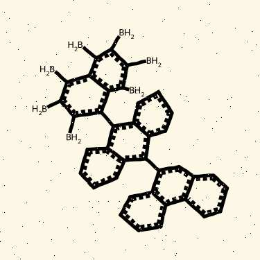 Bc1c(B)c(B)c2c(-c3c4ccccc4c(-c4cc5ccccc5c5ccccc45)c4ccccc34)c(B)c(B)c(B)c2c1B